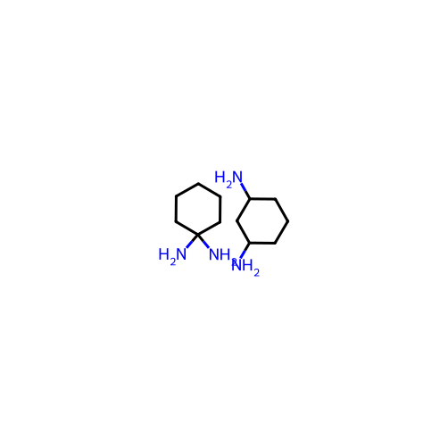 NC1(N)CCCCC1.NC1CCCC(N)C1